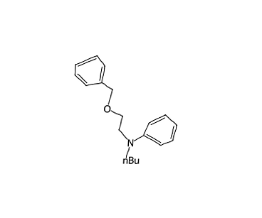 CCCCN(CCOCc1ccccc1)c1ccccc1